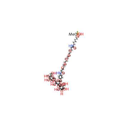 COP(O)(=S)OCCCCCCNC(=O)CCOCCOCCOCCOCCOCCC(=O)Nc1ccc(O[C@H]2OC(CO[C@H]3OC(CO)[C@@H](O)[C@H](O)C3O)[C@@H](O)[C@H](O[C@H]3OC(CO)[C@@H](O)[C@H](O)C3O)C2O)cc1